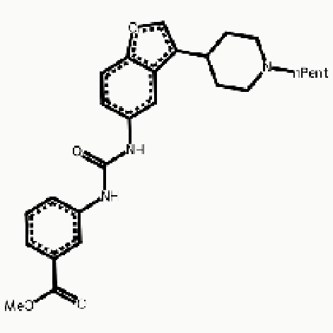 CCCCCN1CCC(c2coc3ccc(NC(=O)Nc4cccc(C(=O)OC)c4)cc23)CC1